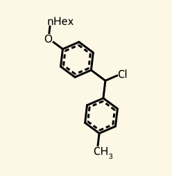 CCCCCCOc1ccc(C(Cl)c2ccc(C)cc2)cc1